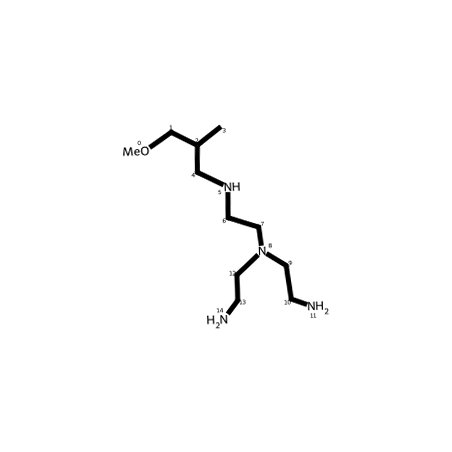 COCC(C)CNCCN(CCN)CCN